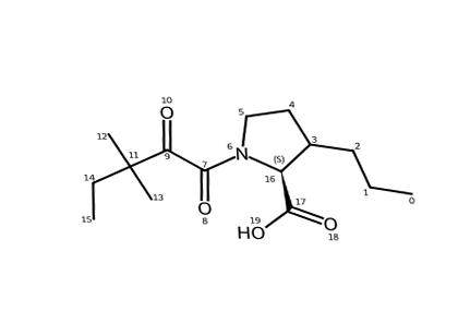 CCCC1CCN(C(=O)C(=O)C(C)(C)CC)[C@@H]1C(=O)O